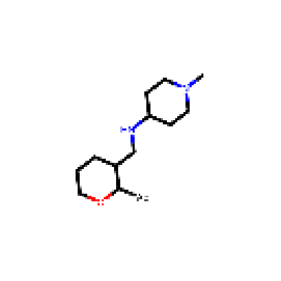 CC(=O)C1OCCCC1CNC1CCN(C)CC1